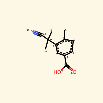 Cc1ccc(C(=O)O)cc1C(C)(C)C#N